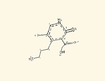 CCCCc1c(I)c[nH]c(=O)c1C(=O)O